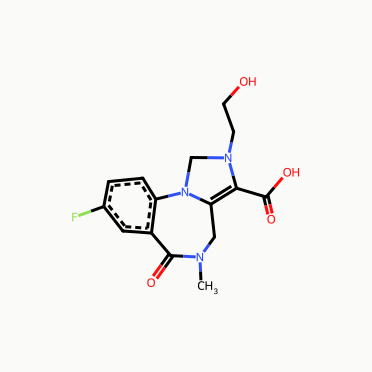 CN1CC2=C(C(=O)O)N(CCO)CN2c2ccc(F)cc2C1=O